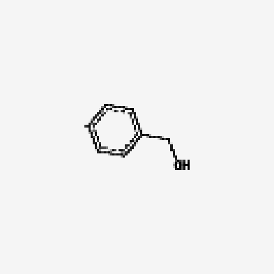 OCc1cc[c]cc1